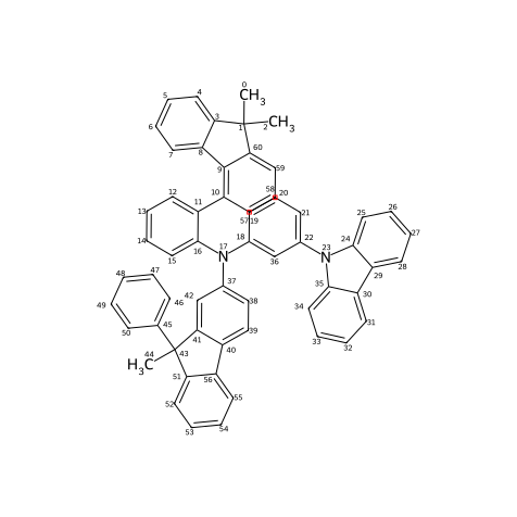 CC1(C)c2ccccc2-c2c(-c3ccccc3N(c3cccc(-n4c5ccccc5c5ccccc54)c3)c3ccc4c(c3)C(C)(c3ccccc3)c3ccccc3-4)cccc21